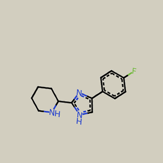 Fc1ccc(-c2c[nH]c(C3CCCCN3)n2)cc1